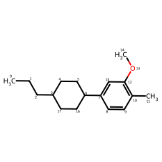 CCCC1CCC(c2ccc(C)c(OC)c2)CC1